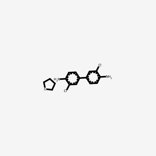 C1CCOC1.Nc1ccc(-c2ccc(N)c(Cl)c2)cc1Cl